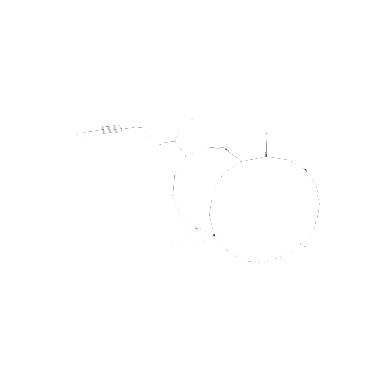 CCCCC#CCCC(CCC)C1CCCC(C)C2(CC)CCCCNCCCCCC(I)C(CCC2)CC1